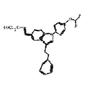 O=C(O)C=Cc1ccc2c(c1)c(CCc1ccccc1)cn2-c1ccc(OC(F)F)cc1